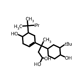 CC(C)C(C)(C)C1CC(C(C)(CC(O)O)C2CCC(O)C(C(C)(C)C)C2)=CCC1O